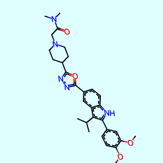 COc1ccc(-c2[nH]c3ccc(-c4nnc(C5CCN(CC(=O)N(C)C)CC5)o4)cc3c2C(C)C)cc1OC